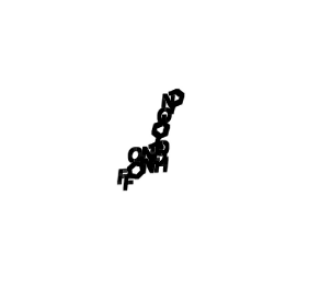 O=C(CN1C(=O)NC2(CCC(F)(F)CC2)C1=O)c1ccc(OCc2ccccn2)cc1